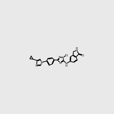 CCn1nc(-c2ccc(-n3cnc(C4CC4)c3)cc2)nc1Nc1ccc2c(c1)CNC2=O